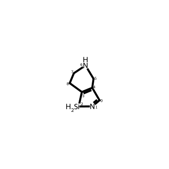 C1=N[SiH2]C2=C1CNCC2